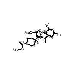 COc1nn2c([nH]c3cc(F)cc(Br)c32)c1C1(C)CCN(C(=O)OC(C)(C)C)CC1